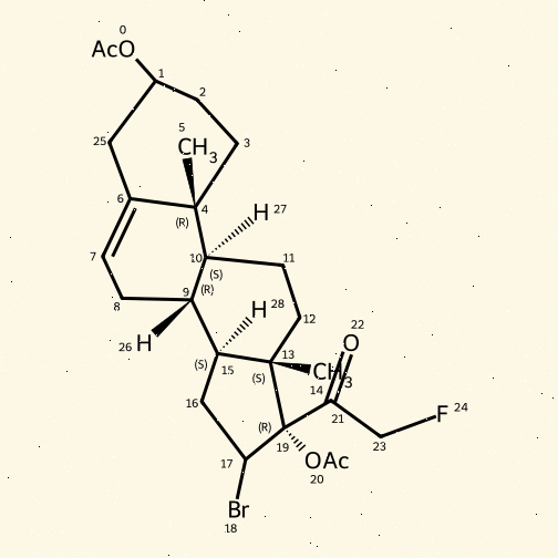 CC(=O)OC1CC[C@@]2(C)C(=CC[C@@H]3[C@@H]2CC[C@@]2(C)[C@H]3CC(Br)[C@]2(OC(C)=O)C(=O)CF)C1